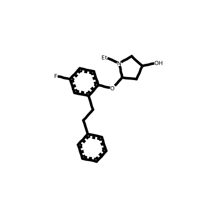 CCN1CC(O)CC1Oc1ccc(F)cc1CCc1ccccc1